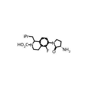 CC(C)CC1c2ccc(N3CC[C@H](N)C3=O)c(F)c2CCN1C(=O)O